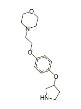 c1cc(OC2CCNC2)ccc1OCCN1CCOCC1